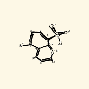 O=S(=O)(Cl)c1ccc(Br)c2cccnc12